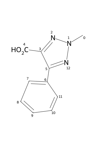 Cn1nc(C(=O)O)c(-c2ccccc2)n1